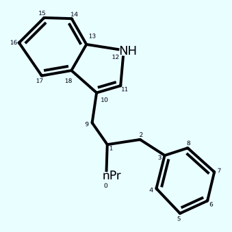 C[CH]CC(Cc1ccccc1)Cc1c[nH]c2ccccc12